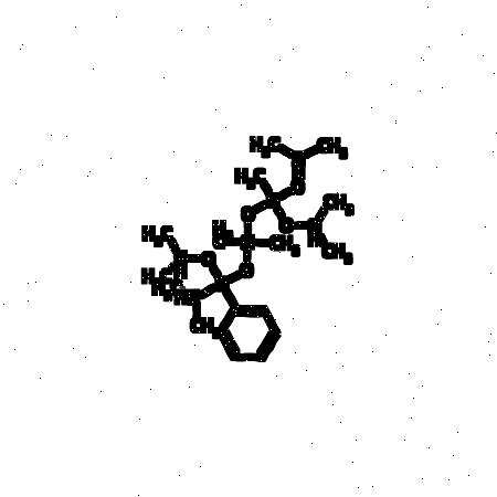 C[SiH](C)O[Si](C)(O[SiH](C)C)O[Si](C)(C)O[Si](O[SiH](C)C)(c1ccccc1)[SiH](C)C